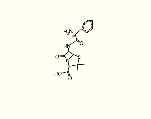 CC1(C)SC2C(NC(=O)[C@H](N)c3ccccc3)C(=O)N2C1C(=O)O